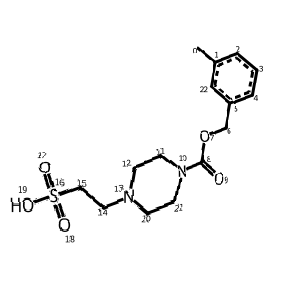 Cc1cccc(COC(=O)N2CCN(CCS(=O)(=O)O)CC2)c1